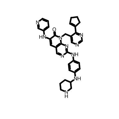 O=c1c(Nc2cccnc2)cc2cnc(Nc3ccc(NC4CCCNC4)cc3)nc2n1Cc1cncnc1C1=CCCC1